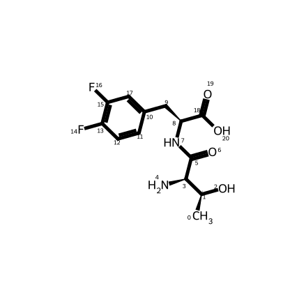 C[C@H](O)[C@@H](N)C(=O)N[C@@H](Cc1ccc(F)c(F)c1)C(=O)O